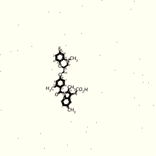 Cc1ccc2c(c1)c(CC(=O)O)c(C)n2C(=O)c1ccc(OC[C@@H]2CN(C)c3cc(F)ccc3O2)cc1C